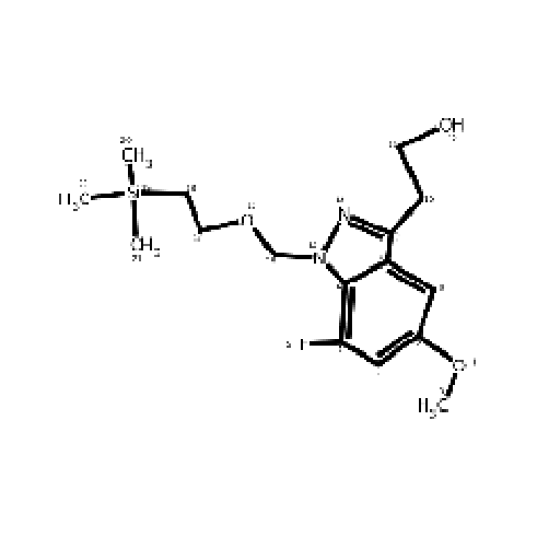 COc1cc(F)c2c(c1)c(CCO)nn2COCC[Si](C)(C)C